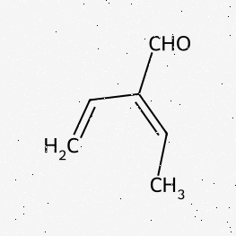 C=CC(C=O)=CC